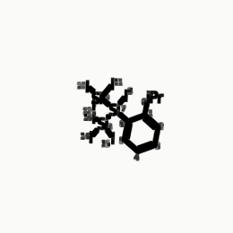 CC(C)c1ccccc1[Si](I)([Si](I)(I)I)[Si](I)(I)I